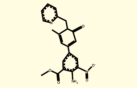 COC(=O)c1cc(C2=CC(=O)C(Cc3ccccn3)C(C)=C2)cc([N+](=O)[O-])c1N